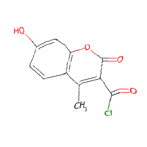 Cc1c(C(=O)Cl)c(=O)oc2cc(O)ccc12